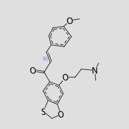 COc1ccc(/C=C/C(=O)c2cc3c(cc2OCCN(C)C)OCS3)cc1